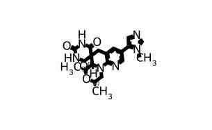 C[C@@H]1CN2c3ncc(-c4cncn4C)cc3CC3(C(=O)NC(=O)NC3=O)[C@H]2[C@H](C)O1